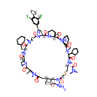 CC[C@H]1CC(=O)N(C)[C@@H](C)C(=O)N2CC[C@H]2C(=O)N(C)[C@@H](CC2CCCCC2)C(=O)N(C)CC(=O)N[C@@H](CCc2cc(F)c(C(F)(F)F)c(F)c2)C(=O)N2CCC[C@H]2C(=O)NC2(CCCC2)C(=O)N(C)C(C2CCCC2)C(=O)N(C)[C@H](C(=O)N(C)C)CSCC(=O)N(C)[C@H](C(N)=O)C1C(C)C